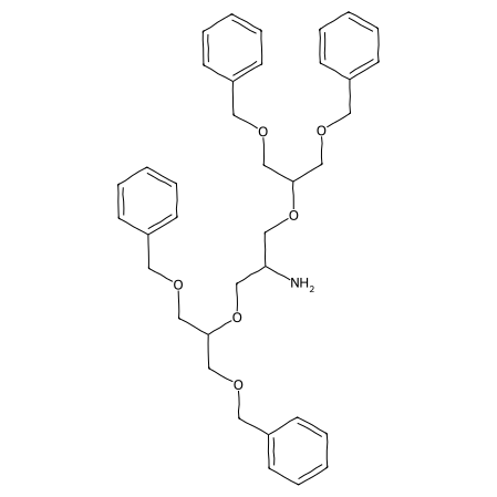 NC(COC(COCc1ccccc1)COCc1ccccc1)COC(COCc1ccccc1)COCc1ccccc1